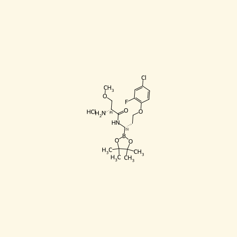 COC[C@@H](N)C(=O)N[C@H](CCOc1ccc(Cl)cc1F)B1OC(C)(C)C(C)(C)O1.Cl